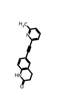 Cc1cccc(C#Cc2ccc3c(c2)CCC(=O)N3)n1